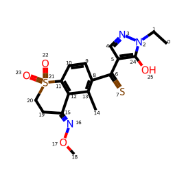 CCn1ncc(C(=S)c2ccc3c(c2C)C(=NOC)CCS3(=O)=O)c1O